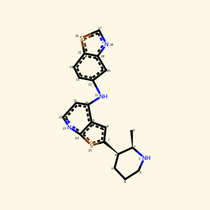 C[C@H]1NCCC[C@H]1c1cc2c(Nc3ccc4scnc4c3)ccnc2s1